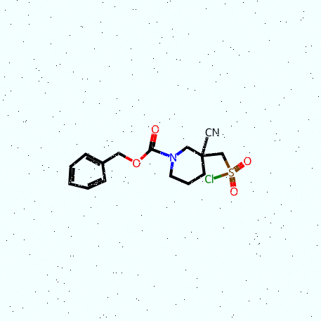 N#CC1(CS(=O)(=O)Cl)CCCN(C(=O)OCc2ccccc2)C1